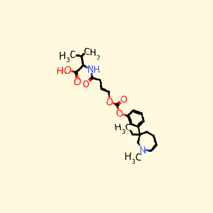 CCC1(c2cccc(OC(=O)OCCCC(=O)NC(C(=O)O)C(C)C)c2)CCCCN(C)C1